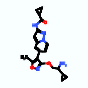 Cc1onc(OCC(N)C2CC2)c1-c1ccn2nc(NC(=O)C3CC3)cc2c1